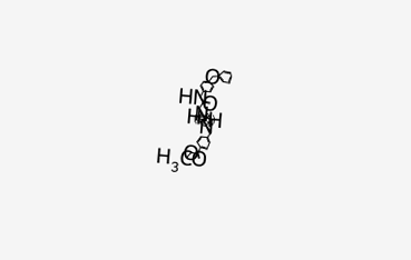 COC(=O)c1ccc(CN2C[C@@H]3C[C@H]2CN3CC(=O)Nc2ccc(Oc3ccccc3)cc2)cc1